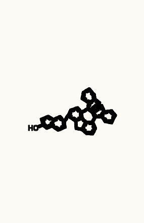 Oc1ccc2cc(-c3ccc(-c4cccc5ccccc45)c4c3Cc3cccc(-c5cccc6ccccc56)c3-4)ccc2c1